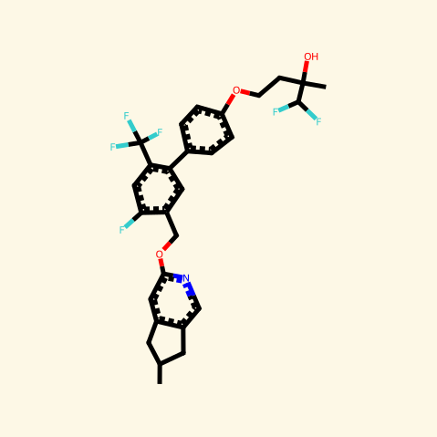 CC1Cc2cnc(OCc3cc(-c4ccc(OCCC(C)(O)C(F)F)cc4)c(C(F)(F)F)cc3F)cc2C1